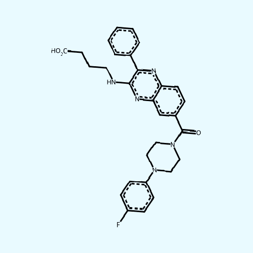 O=C(O)CCCNc1nc2cc(C(=O)N3CCN(c4ccc(F)cc4)CC3)ccc2nc1-c1ccccc1